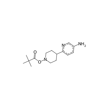 CC(C)(C)C(=O)ON1CCC(c2ccc(N)cn2)CC1